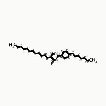 CCCCCCCCCCCCc1cnc(-c2ccc(CCCCCCC)cc2)nc1F